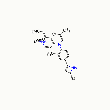 CCN\C=C/C(=C\C(=C\C=O)OC)N(/C=C(/C)CC)c1ccc(C2=CC(CC)N2)cc1C